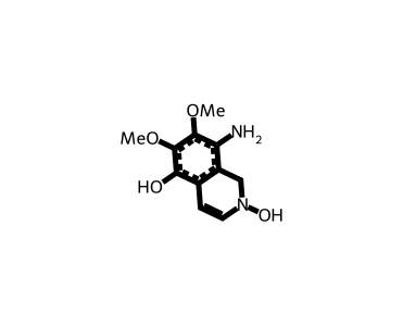 COc1c(N)c2c(c(O)c1OC)C=CN(O)C2